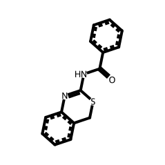 O=C(NC1=Nc2ccccc2CS1)c1ccccc1